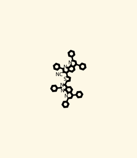 N#Cc1c(-c2ccccc2)nc2c(ccc3c(-c4ccccc4)cc(-c4ccccc4)nc32)c1-c1ccc(-c2nc(-c3ccccc3)nc3c2ccc2c(-c4ccccc4)cc(-c4ccccc4)nc23)s1